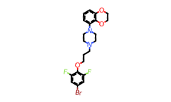 Fc1cc(Br)cc(F)c1OCCCN1CCN(c2cccc3c2OCCO3)CC1